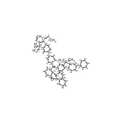 C=CC1=C(/C=C\C)c2ccc(-c3ccc(N(c4ccc5c(c4)C(C)(C)c4cc(-c6ccccc6)ccc4-5)c4cccc5oc6c7ccccc7ccc6c45)cc3)cc2C1(C)C